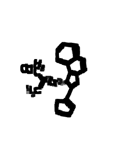 C[C](C)=[Zr+2][CH]1C(C2=CC=CC2)=Cc2ccc3ccccc3c21.[Cl-].[Cl-]